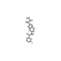 Cc1cccc(C(=O)Nc2ccc3sc(C(=O)NO)cc3c2)c1